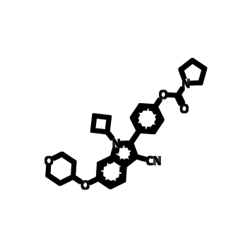 N#Cc1c(-c2ccc(OC(=O)N3CCCC3)cc2)n(C2CCC2)c2cc(OC3CCOCC3)ccc12